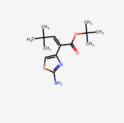 CC(C)(C)/C=C(/C(=O)OC(C)(C)C)c1csc(N)n1